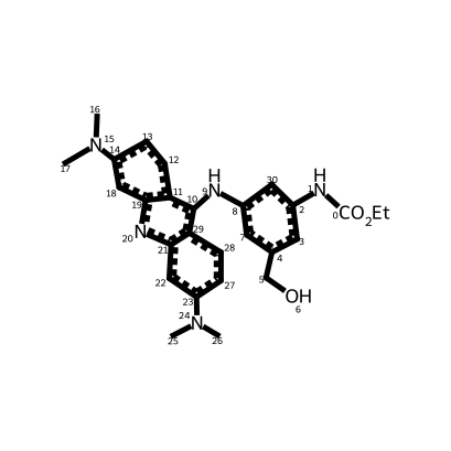 CCOC(=O)Nc1cc(CO)cc(Nc2c3ccc(N(C)C)cc3nc3cc(N(C)C)ccc23)c1